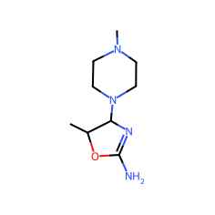 CC1OC(N)=NC1N1CCN(C)CC1